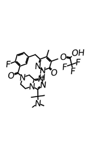 Cc1c(Cc2ccc(F)c(C(=O)N3CCn4c(nnc4C(C)(C)N(C)C)C3)c2)n[nH]c(=O)c1C.O=C(O)C(F)(F)F